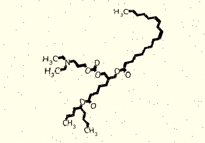 CCCCC/C=C\C/C=C\CCCCCCCC(=O)OCC(CCCCC(=O)OC(CCCC)CCCC)COC(=O)OCCCN(CC)CC